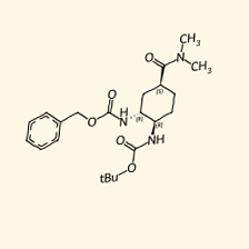 CN(C)C(=O)[C@H]1CC[C@@H](NC(=O)OC(C)(C)C)[C@H](NC(=O)OCc2ccccc2)C1